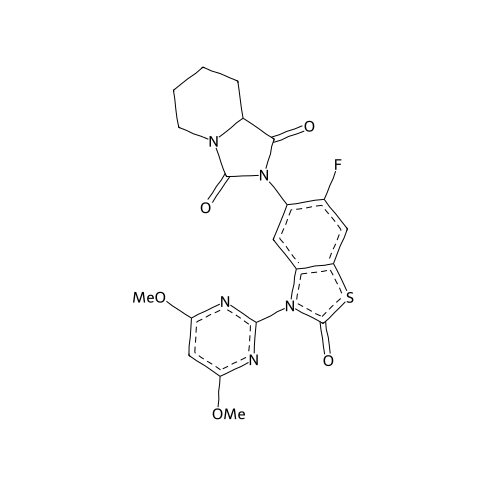 COc1cc(OC)nc(-n2c(=O)sc3cc(F)c(N4C(=O)C5CCCCN5C4=O)cc32)n1